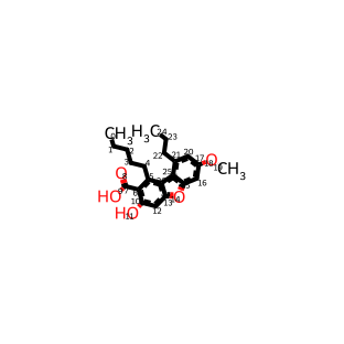 CCCCCc1c(C(=O)O)c(O)cc2oc3cc(OC)cc(CCC)c3c12